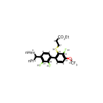 CCCCCCC(CCC)c1ccc(-c2ccc(OC(F)(F)F)c(F)c2SCCC(=O)OCC)c(F)c1F